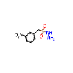 NNS(=O)(=O)Cc1cccc([N+](=O)[O-])c1